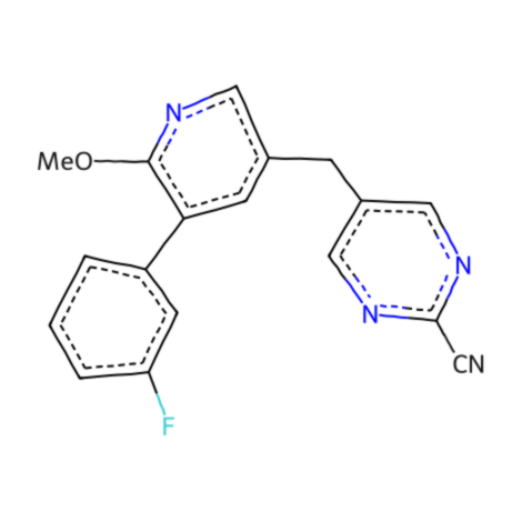 COc1ncc(Cc2cnc(C#N)nc2)cc1-c1cccc(F)c1